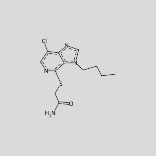 CCCCn1cnc2c(Cl)cnc(SCC(N)=O)c21